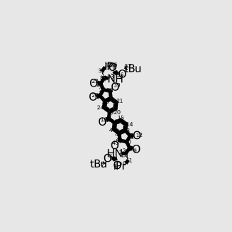 CC(C)C[C@H](NC(=O)OC(C)(C)C)C(=O)C1C(=O)c2ccc(C(=O)c3ccc4c(c3)C(=O)C(C(=O)[C@H](CC(C)C)NC(=O)OC(C)(C)C)C4=O)cc2C1=O